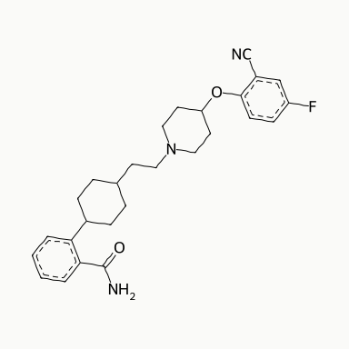 N#Cc1cc(F)ccc1OC1CCN(CCC2CCC(c3ccccc3C(N)=O)CC2)CC1